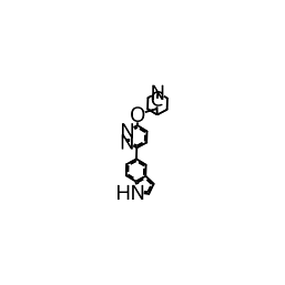 c1cc2cc(-c3ccc(OC4CN5CCC4CC5)nn3)ccc2[nH]1